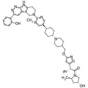 CC(C)[C@@H](C(=O)N1C[C@H](O)C[C@H]1C)c1cc(OCC2CCN([C@H]3CC[C@H](c4cnc(N5CCc6[nH]c7nnc(-c8ccccc8O)cc7c6[C@H]5C)nc4)CC3)CC2)no1